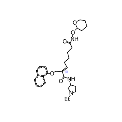 CCN1CCC(NC(=O)/C(=C/CCCCC(=O)NOC2CCCCO2)COc2cccc3ccccc23)C1